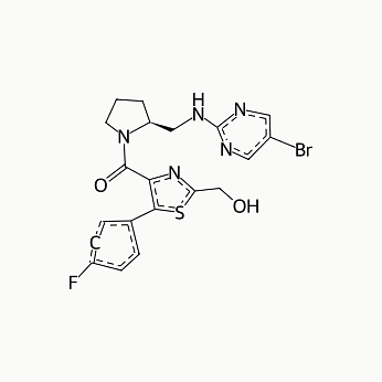 O=C(c1nc(CO)sc1-c1ccc(F)cc1)N1CCC[C@H]1CNc1ncc(Br)cn1